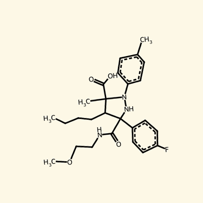 CCCCC1C(C(=O)NCCOC)(c2ccc(F)cc2)NN(c2ccc(C)cc2)C1(C)C(=O)O